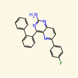 Nc1nc(-c2ccccc2-c2ccccc2)c2nc(-c3ccc(F)cc3)ccc2n1